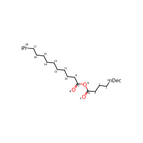 CCCCCCCCCCCCCC(=O)OC(=O)CCCCCCCCCC(C)C